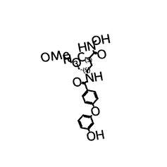 COCOC[C@H](C[C@H](C)C(=O)NO)NC(=O)c1ccc(Oc2cccc(O)c2)cc1